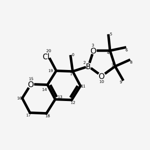 CC1(B2OC(C)(C)C(C)(C)O2)C=CC2=C(OCCC2)C1Cl